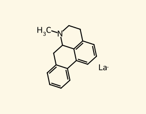 CN1CCc2cccc3c2C1Cc1ccccc1-3.[La]